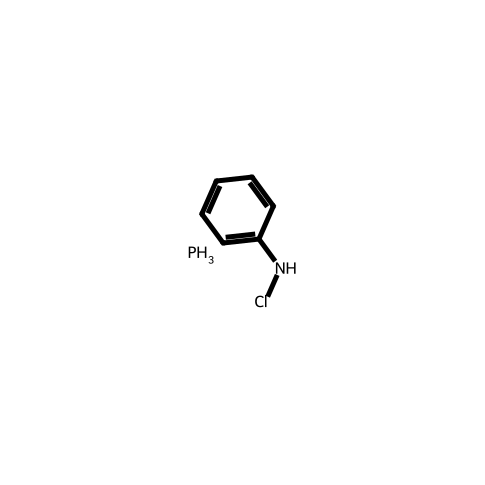 ClNc1ccccc1.P